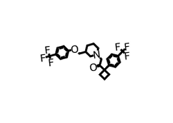 O=C(CN1CCCC(COc2ccc(C(F)(F)F)cc2)C1)C1(c2ccc(C(F)(F)F)cc2)CCC1